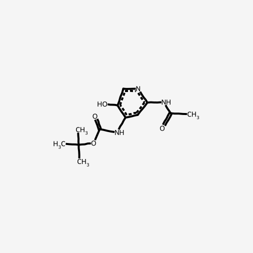 CC(=O)Nc1cc(NC(=O)OC(C)(C)C)c(O)cn1